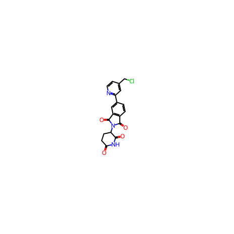 O=C1CCC(N2C(=O)c3ccc(-c4cc(CCl)ccn4)cc3C2=O)C(=O)N1